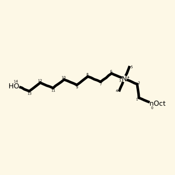 CCCCCCCCCC[N+](C)(C)CCCCCCCCO